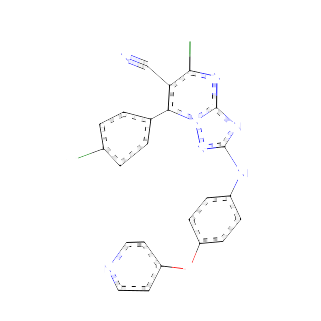 N#Cc1c(F)nc2nc(Nc3ccc(Oc4ccncc4)cc3)nn2c1-c1ccc(Cl)cc1